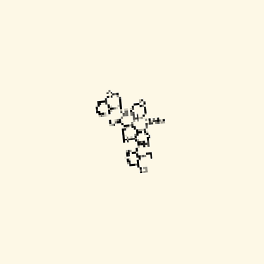 COc1cnc(-c2cccc(Cl)c2Cl)c2ncc(C(=O)NC3CCOc4ccccc43)c(N3CCOCC3)c12